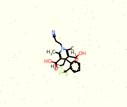 CCC1(c2ccccc2C(F)(F)F)C(C(=O)O)=C(C)N(CCC#N)C(C)=C1C(=O)O